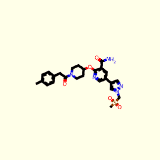 Cc1ccc(CC(=O)N2CCC(Oc3ncc(-c4cnn(CS(C)(=O)=O)c4)cc3C(N)=O)CC2)cc1